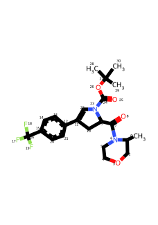 CC1COCCN1C(=O)C1CC(c2ccc(C(F)(F)F)cc2)=CN1C(=O)OC(C)(C)C